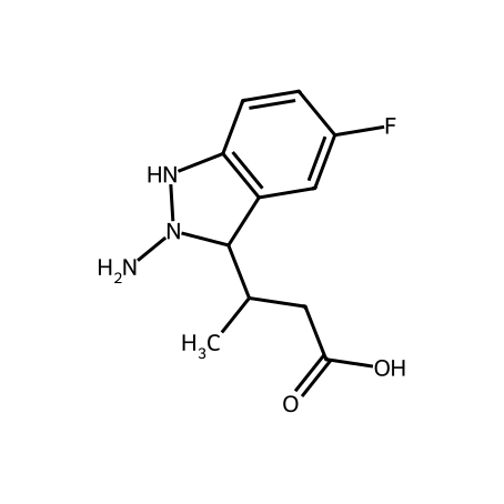 CC(CC(=O)O)C1c2cc(F)ccc2NN1N